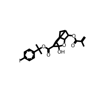 C=C(C)C(=O)OC1C2OC3(O)C4C2CC1C43C(=O)OC(C)(C)c1ccc(I)cc1